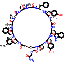 CCCC[C@H]1C(=O)N(C)CC(=O)N[C@@H](CC(=O)O)C(=O)N[C@@H](C(C)C)C(=O)N(C)[C@@H](Cc2ccccc2)CN[C@@H](Cc2ccc(O)cc2)C(=O)N(C)CC(=O)N[C@@H](Cc2c[nH]c3ccccc23)C(=O)N[C@@H](Cc2ccc(O)cc2)C(=O)N[C@@H](CC(C)C)C(=O)N[C@H](C(=O)NCC(N)=O)CSCC(=O)N[C@@H](Cc2cccc(OC)c2)C(=O)N(C)[C@@H](Cc2ccccc2)C(=O)N1C